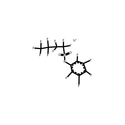 O=S(=O)([N-]c1c(F)c(F)c(F)c(F)c1F)C(F)(F)C(F)(F)C(F)(F)C(F)(F)F.[Li+]